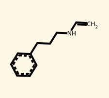 C=CNCCCc1ccccc1